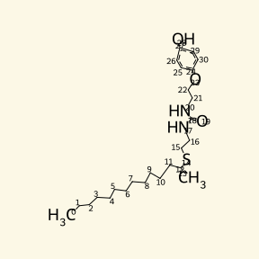 CCCCCCCCCCCCC(C)SCCNC(=O)NCCOc1ccc(O)cc1